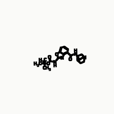 CC(C)(C)OC(=O)Nc1nc2c(C(=O)NC3CN4CCC3CC4)cccc2o1